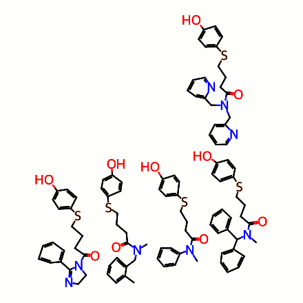 CN(C(=O)CCCSc1ccc(O)cc1)C(c1ccccc1)c1ccccc1.CN(C(=O)CCCSc1ccc(O)cc1)c1ccccc1.Cc1ccccc1CN(C)C(=O)CCCSc1ccc(O)cc1.O=C(CCCSc1ccc(O)cc1)N(Cc1ccccn1)Cc1ccccn1.O=C(CCCSc1ccc(O)cc1)N1CCN=C1c1ccccc1